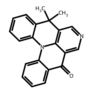 CC1(C)c2ccccc2-n2c3ccccc3c(=O)c3cncc1c32